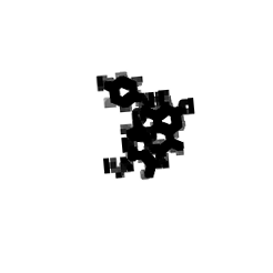 Cc1nc(C(C)c2cc(Cl)c(F)c(C(=O)Nc3ccc(F)cc3)c2OC(C)C)n2ccnc(N)c12